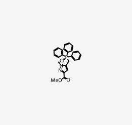 COC(=O)c1cc(CP(Cl)(c2ccccc2)(c2ccccc2)c2ccccc2)n(C)n1